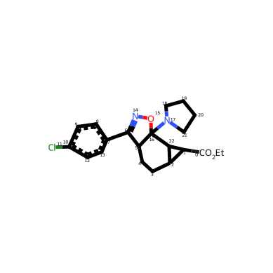 CCOC(=O)C1C2CCC3C(c4ccc(Cl)cc4)=NOC3(N3CCCC3)C21